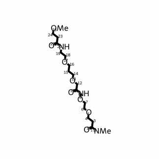 CNC(=O)CCOCCONC(=O)COCCCOCCNC(=O)CCOC